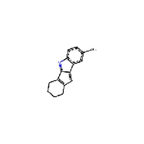 CC(C)(C)c1ccc2c(c1)C1=CC3=C(CCCC3)C1=N2